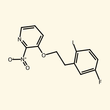 O=[N+]([O-])c1ncccc1OCCc1cc(F)ccc1I